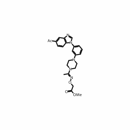 COC(=O)CON=C(C)N1CCN(c2cccc(-n3cnc4cc(C(C)=O)ccc43)c2)CC1